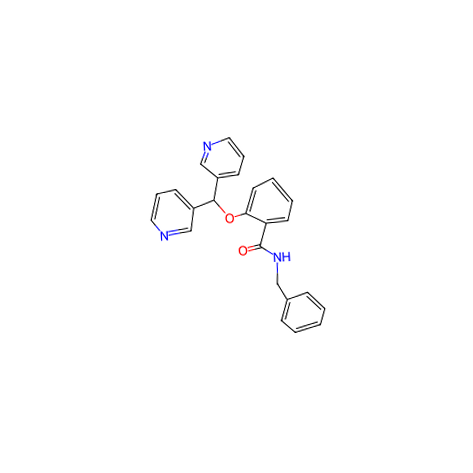 O=C(NCc1ccccc1)c1ccccc1OC(c1cccnc1)c1cccnc1